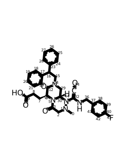 CN1CC(=O)N2[C@@H](CCC(=O)O)C(=O)N(CC(c3ccccc3)c3ccccc3)C[C@@H]2N1C(=C=O)NCc1ccc(F)cc1